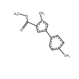 COC(=O)c1cc(-c2ccc(C)cc2)cn1C